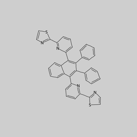 c1ccc(-c2c(-c3ccccc3)c(-c3cccc(-c4nccs4)n3)c3ccccc3c2-c2cccc(-c3nccs3)n2)cc1